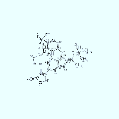 C[C@@H](Nc1nc(-c2noc(=O)[nH]2)nc2nc(N(C)CC(C)(C)C)n(Cc3ccc(C(F)(F)F)cc3)c12)C1CCC1